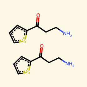 NCCC(=O)c1cccs1.NCCC(=O)c1cccs1